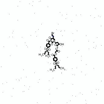 CCCN(CCC)S(=O)(=O)c1ccc(C(=O)OCC(=O)OC[C@@H]2O[C@H](n3cc(/C=C/Br)c(=O)n(C(=O)c4ccc(S(=O)(=O)N(CCC)CCC)cc4)c3=O)CC2O)cc1